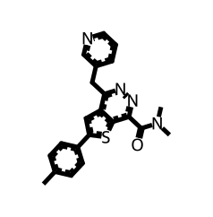 Cc1ccc(-c2cc3c(Cc4cccnc4)nnc(C(=O)N(C)C)c3s2)cc1